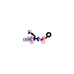 CC(CC#C[Si](C)(C)C)(N[S+]([O-])C(C)(C)C)C1CN(C(=O)OCc2ccccc2)C1